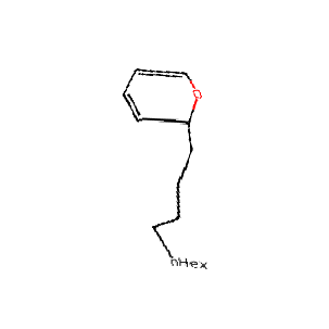 CCCCCCCCCCC1C=CC=CO1